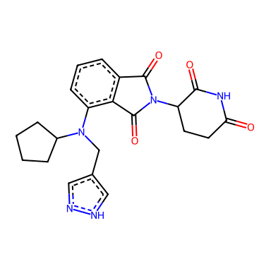 O=C1CCC(N2C(=O)c3cccc(N(Cc4cn[nH]c4)C4CCCC4)c3C2=O)C(=O)N1